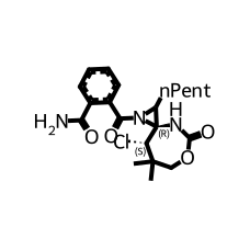 CCCCCC1N(C(=O)c2ccccc2C(N)=O)[C@]12NC(=O)OCC(C)(C)[C@@H]2Cl